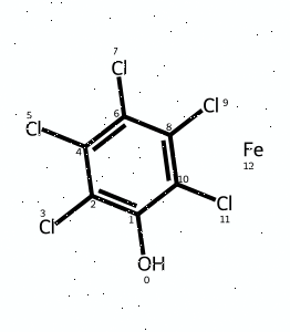 Oc1c(Cl)c(Cl)c(Cl)c(Cl)c1Cl.[Fe]